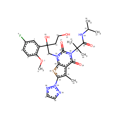 COc1ccc(F)cc1C(O)(CCO)Cn1c(=O)n(C(C)(C)C(=O)NC(C)C)c(=O)c2c(C)c(-n3nccn3)sc21